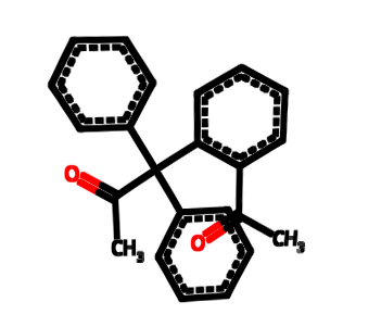 CC(=O)c1ccccc1C(C(C)=O)(c1ccccc1)c1ccccc1